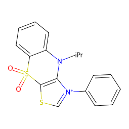 CC(C)N1c2ccccc2S(=O)(=O)c2sc[n+](-c3ccccc3)c21